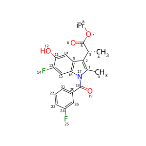 Cc1c([C@@H](C)C(=O)OC(C)C)c2cc(O)c(F)cc2n1C(=O)c1cccc(F)c1